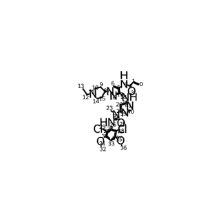 C=CC(=O)Nc1cn(C2CCN(CC)CC2)nc1Nc1cc(N(C)C(=O)Nc2c(Cl)c(OC)cc(OC)c2Cl)ncn1